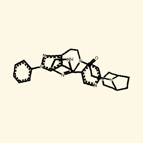 O=C(CN1CC2CCC(C1)N2c1ccc(C2=NOCN2)cn1)N1CCc2nn(-c3ccccc3)cc2C1